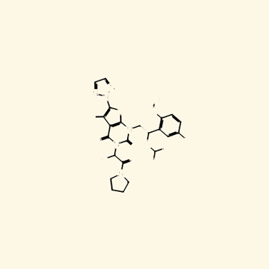 COc1ccc(F)cc1[C@H](Cn1c(=O)n(C(C)C(=O)N2CCCC2)c(=O)c2c(C)c(-n3nccn3)sc21)OC(C)C